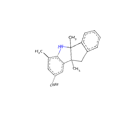 COc1cc(C)c2c(c1)C1(C)Cc3ccccc3C1(C)N2